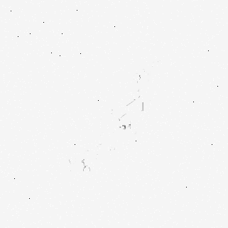 C=C1CC[C@H](O[Si](C)(C)C(C)(C)C)C/C1=C/C=C1\CCC[C@]2(C)[C@@H]([C@H](C)CCCC(=O)OC)CC[C@@H]12